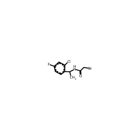 CC(NC(=O)CBr)c1ccc(F)cc1Cl